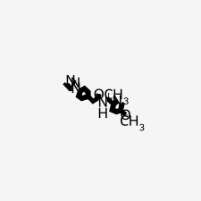 COc1ccc([C@@H](C)NC(=O)Cc2ccc(-n3ccnn3)cc2)nc1